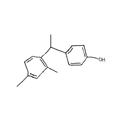 Cc1ccc(C(C)c2ccc(O)cc2)c(C)c1